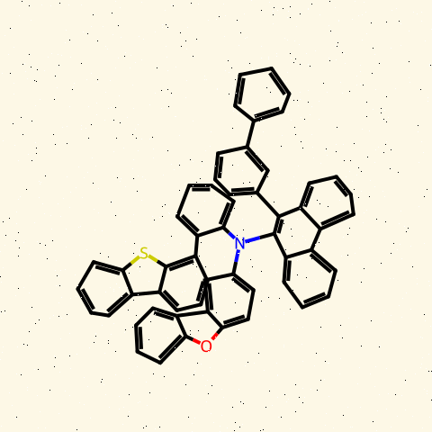 c1ccc(-c2cccc(-c3c(N(c4ccc5oc6ccccc6c5c4)c4ccccc4-c4cccc5c4sc4ccccc45)c4ccccc4c4ccccc34)c2)cc1